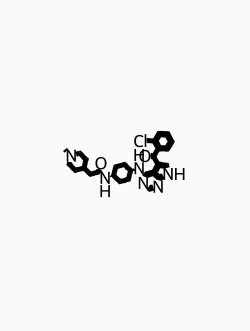 CN1CCC(CC(=O)N[C@H]2CC[C@H](Nc3ncnc4[nH]cc(C(=O)c5ccccc5Cl)c34)CC2)CC1